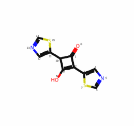 O=C1C(c2cncs2)=C(O)C1c1cncs1